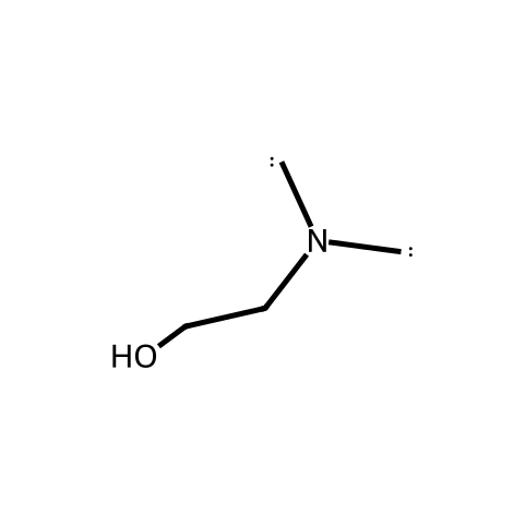 [CH]N([CH])CCO